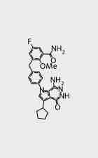 COc1c(Cc2ccc(-n3cc(C4CCCC4)c4c(=O)[nH]nc(N)c43)cc2)cc(F)cc1C(N)=O